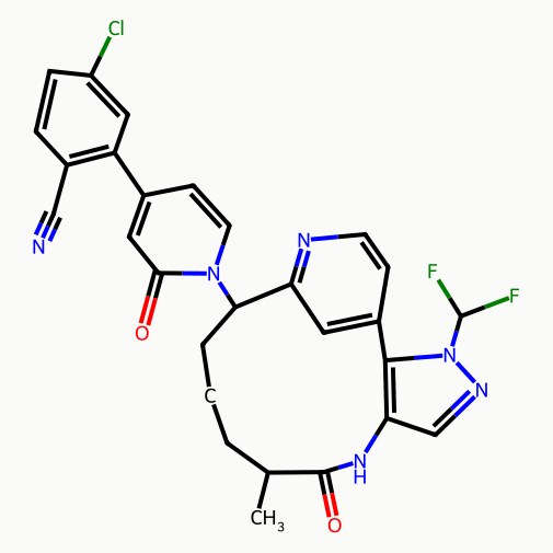 CC1CCCC(n2ccc(-c3cc(Cl)ccc3C#N)cc2=O)c2cc(ccn2)-c2c(cnn2C(F)F)NC1=O